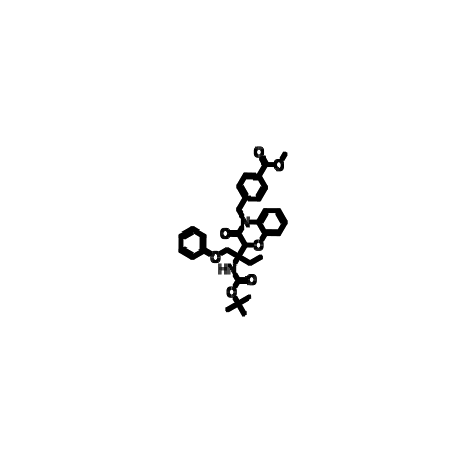 CCC(COc1ccccc1)(NC(=O)OC(C)(C)C)C1Oc2ccccc2N(Cc2ccc(C(=O)OC)cc2)C1=O